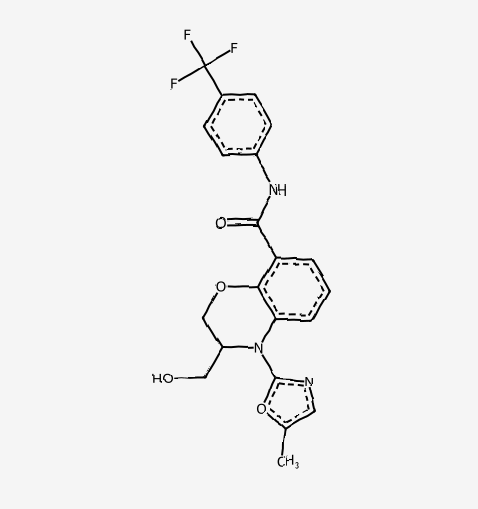 Cc1cnc(N2c3cccc(C(=O)Nc4ccc(C(F)(F)F)cc4)c3OCC2CO)o1